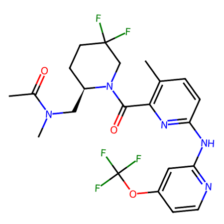 CC(=O)N(C)C[C@H]1CCC(F)(F)CN1C(=O)c1nc(Nc2cc(OC(F)(F)F)ccn2)ccc1C